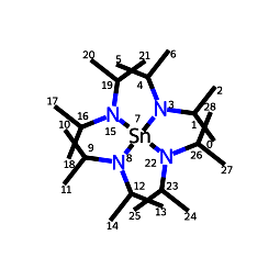 CC(C)[N](C(C)C)[Sn]([N](C(C)C)C(C)C)([N](C(C)C)C(C)C)[N](C(C)C)C(C)C